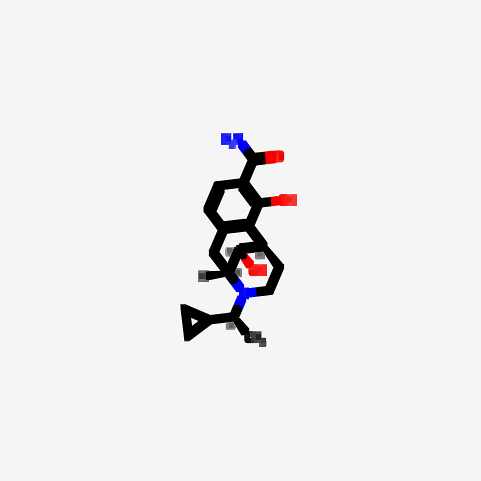 C[C@@H](C1CC1)N1CC[C@]23CCCC[C@@]2(O)[C@H]1Cc1ccc(C(N)=O)c(O)c13